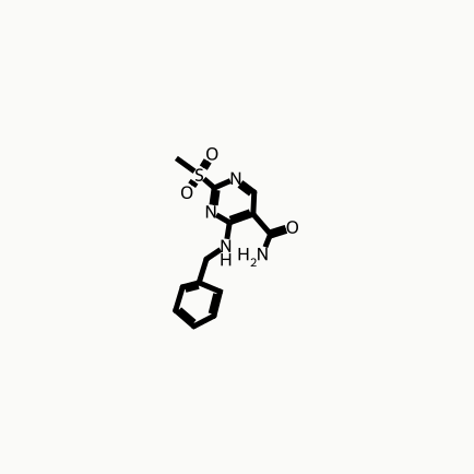 CS(=O)(=O)c1ncc(C(N)=O)c(NCc2ccccc2)n1